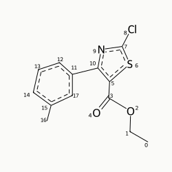 CCOC(=O)c1sc(Cl)nc1-c1cccc(C)c1